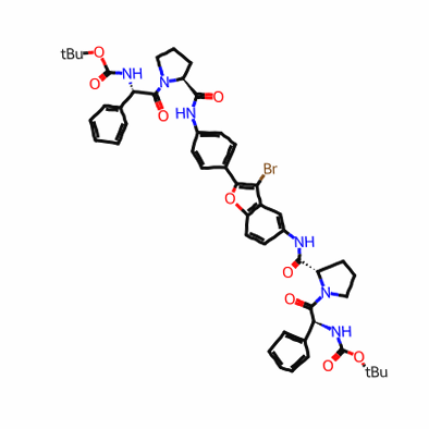 CC(C)(C)OC(=O)N[C@H](C(=O)N1CCC[C@H]1C(=O)Nc1ccc(-c2oc3ccc(NC(=O)[C@@H]4CCCN4C(=O)[C@@H](NC(=O)OC(C)(C)C)c4ccccc4)cc3c2Br)cc1)c1ccccc1